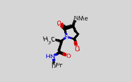 CCCNC(=O)C(C)N1C(=O)CC(NC)C1=O